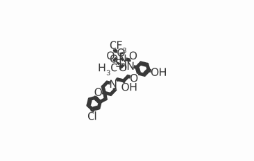 CS(=O)(=O)N(OC(=O)C(F)(F)F)C(=O)Nc1ccc(O)cc1OC[C@@H](O)CN1CCC2(CC1)Cc1cc(Cl)ccc1O2